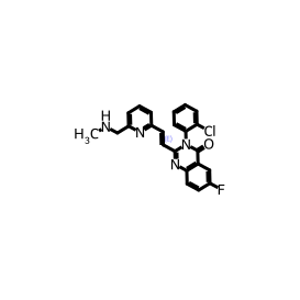 CNCc1cccc(/C=C/c2nc3ccc(F)cc3c(=O)n2-c2ccccc2Cl)n1